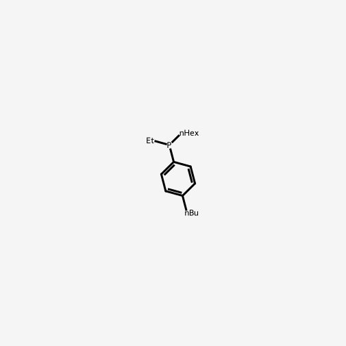 CCCCCCP(CC)c1ccc(CCCC)cc1